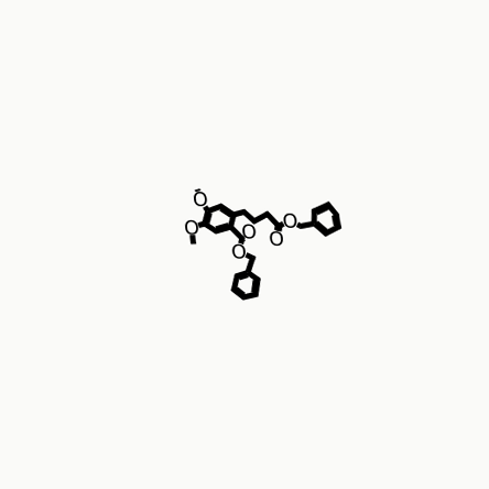 COc1cc(CCCC(=O)OCc2ccccc2)c(C(=O)OCc2ccccc2)cc1OC